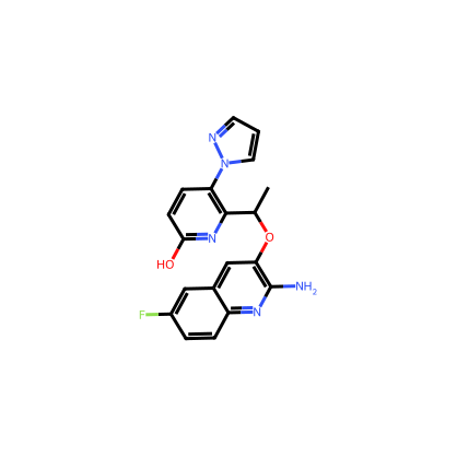 CC(Oc1cc2cc(F)ccc2nc1N)c1nc(O)ccc1-n1cccn1